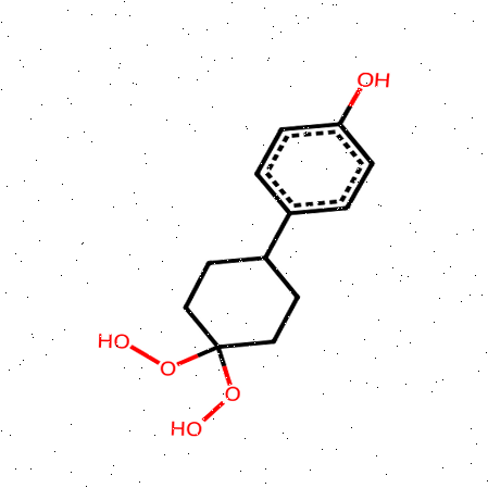 OOC1(OO)CCC(c2ccc(O)cc2)CC1